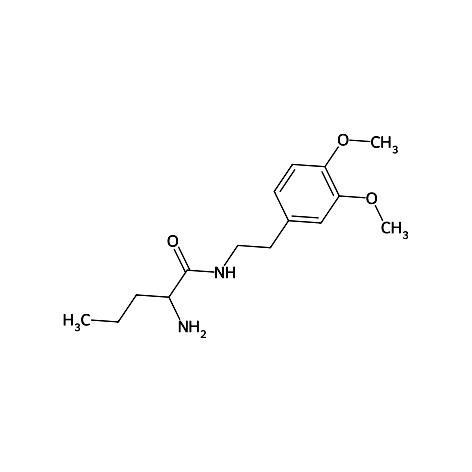 CCCC(N)C(=O)NCCc1ccc(OC)c(OC)c1